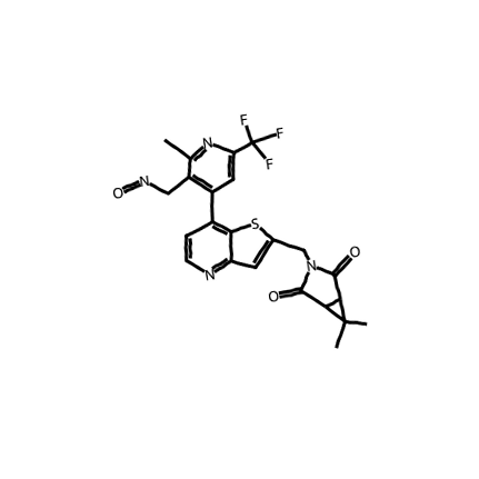 Cc1nc(C(F)(F)F)cc(-c2ccnc3cc(CN4C(=O)C5C(C4=O)C5(C)C)sc23)c1CN=O